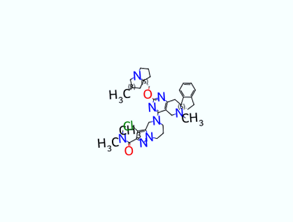 C[C@H]1CN2CCC[C@@]2(COc2nc3c(c(N4CCCn5nc(C(=O)N(C)C)c(Cl)c5C4)n2)CN(C)[C@@]2(CCc4ccccc42)C3)C1